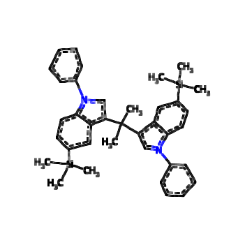 CC(C)(c1cn(-c2ccccc2)c2ccc([Si](C)(C)C)cc12)c1cn(-c2ccccc2)c2ccc([Si](C)(C)C)cc12